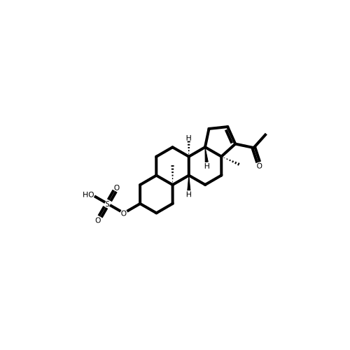 CC(=O)C1=CC[C@H]2[C@@H]3CCC4CC(OS(=O)(=O)O)CC[C@]4(C)[C@H]3CC[C@]12C